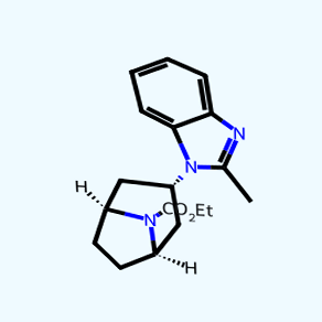 CCOC(=O)N1[C@@H]2CC[C@H]1C[C@H](n1c(C)nc3ccccc31)C2